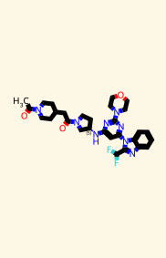 CC(=O)N1CCC(CC(=O)N2CC[C@H](Nc3cc(-n4c(C(F)F)nc5ccccc54)nc(N4CCOCC4)n3)C2)CC1